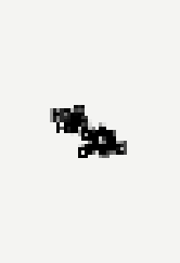 O=P(O)(O)OOc1ccc(Cl)cc1Cl